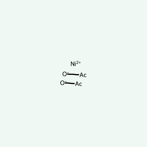 CC(=O)[O-].CC(=O)[O-].[Ni+2]